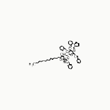 CCCCCCCCCCCCCCC(O)[C@@H](O)[C@H](CC[C@H]1OC(COCc2ccccc2)[C@H](OCc2ccccc2)[C@@H](OCc2ccccc2)C1OCc1ccccc1)NC(=O)OCc1ccccc1